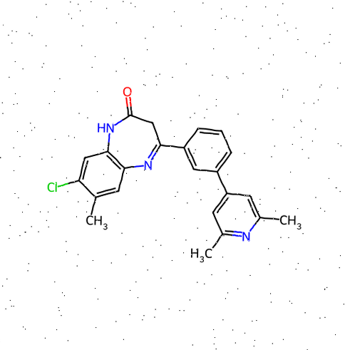 Cc1cc(-c2cccc(C3=Nc4cc(C)c(Cl)cc4NC(=O)C3)c2)cc(C)n1